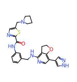 O=C(Nc1cccc(CNc2ncc(-c3cn[nH]c3)c3c2CCO3)c1)c1ncc(CN2CCCC2)s1